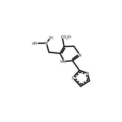 CCCN(CC)CC1=C(C(=O)OCC)CN=C(c2nccs2)N1